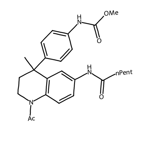 CCCCCC(=O)Nc1ccc2c(c1)C(C)(c1ccc(NC(=O)OC)cc1)CCN2C(C)=O